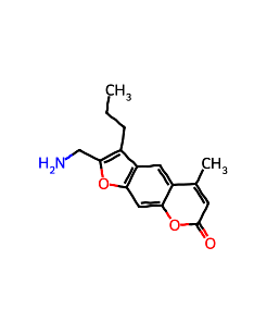 CCCc1c(CN)oc2cc3oc(=O)cc(C)c3cc12